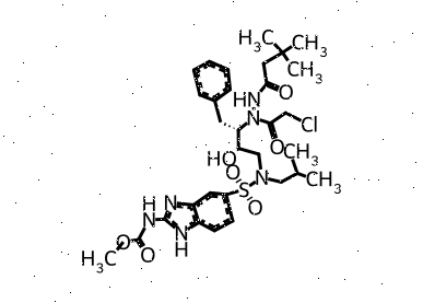 COC(=O)Nc1nc2cc(S(=O)(=O)N(CC(C)C)C[C@H](O)[C@H](Cc3ccccc3)N(NC(=O)CC(C)(C)C)C(=O)CCl)ccc2[nH]1